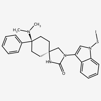 CN(C)[C@]1(c2ccccc2)CC[C@]2(CC1)CN(c1cn(SI)c3ccccc13)C(=O)N2